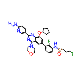 Nc1ccc(-c2nc(N3CCOCC3)c3cc(-c4cccc(N[S+]([O-])CCCF)c4F)cc(OC4CCCC4)c3n2)cn1